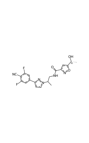 CC(CNC(=O)c1cc([C@@H](C)O)on1)n1ccc(-c2cc(F)c(C#N)c(F)c2)n1